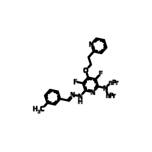 CCCN(CCC)c1nc(N/N=C/c2cccc(C)c2)c(F)c(OCCc2ccccn2)c1F